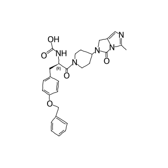 Cc1ncc2n1C(=O)N(C1CCN(C(=O)[C@@H](Cc3ccc(OCc4ccccc4)cc3)NC(=O)O)CC1)C2